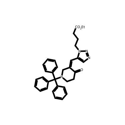 CCOC(=O)CCCn1nncc1/C=C1/CN(C(c2ccccc2)(c2ccccc2)c2ccccc2)CCC1=O